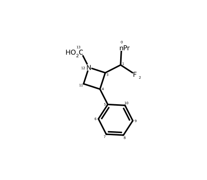 CCCC(F)C1C(c2ccccc2)CN1C(=O)O